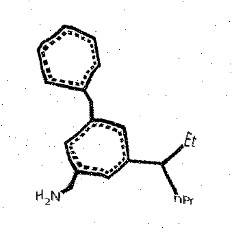 CCCC(CC)c1cc(N)cc(-c2ccccc2)c1